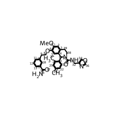 COc1cc2c(cc1OCCc1cccc(C(N)=O)c1)C(c1ccc(C)cc1C)N(C(=O)NCc1cocn1)CC2